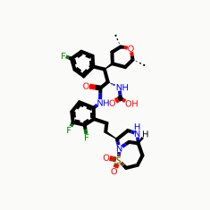 C[C@@H]1CC([C@H](c2ccc(F)cc2)[C@H](NC(=O)O)C(=O)Nc2ccc(F)c(F)c2CC[C@H]2CN[C@@H]3CCCS(=O)(=O)N2C3)C[C@H](C)O1